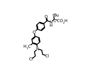 Cc1cc(Oc2ccc(C(=O)N[C@H](C(=O)O)C(C)(C)C)cc2)ccc1N(CCCl)CCCl